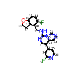 Fc1cc(-c2cnc(NCc3c(F)ccc4c3CCO4)n3cncc23)ccn1